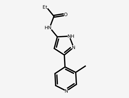 CCC(=O)Nc1cc(-c2ccncc2C)n[nH]1